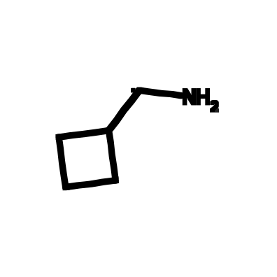 N[CH]C1CCC1